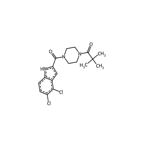 CC(C)(C)C(=O)N1CCN(C(=O)c2cc3c(Cl)c(Cl)ccc3[nH]2)CC1